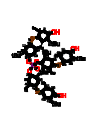 Cc1cc(O)c(C(C)(C)C)cc1Sc1cc(C(C)(C)C)c(OP(=O)(Oc2cc(C)c(Sc3cc(C(C)(C)C)c(O)cc3C)cc2C(C)(C)C)Oc2cc(C)c(Sc3cc(C(C)(C)C)c(O)cc3C)cc2C(C)(C)C)cc1C